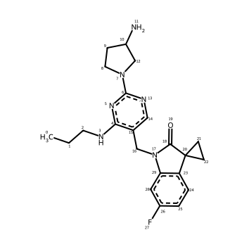 CCCNc1nc(N2CCC(N)C2)ncc1CN1C(=O)C2(CC2)c2ccc(F)cc21